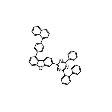 c1ccc(-c2nc(-c3ccc4c(c3)oc3cccc(-c5ccc(-c6cccc7ccccc67)cc5)c34)nc(-c3ccccc3-c3ccccc3)n2)cc1